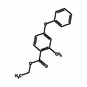 CCOC(=O)c1ccc(Oc2ccccc2)cc1C